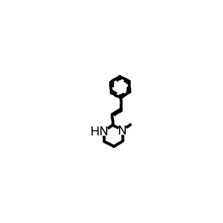 CN1CCCNC1C=Cc1ccccc1